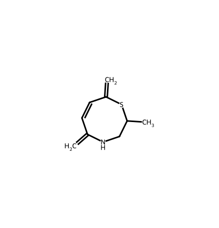 C=C1/C=C\C(=C)SC(C)CN1